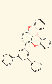 c1ccc(-c2cc(-c3ccccc3)cc(-c3ccc4c5c3Oc3ccccc3B5c3ccccc3O4)c2)cc1